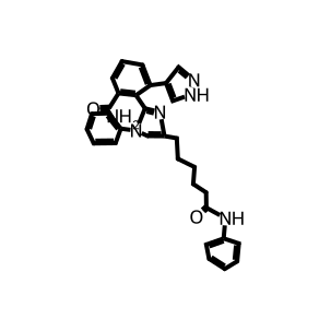 NC(=O)c1cccc(-c2cn[nH]c2)c1-c1nc(CCCCCC(=O)Nc2ccccc2)cn1-c1ccccc1